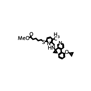 COC(=O)CCCCSc1ccc(C)c(CNC2(c3cnccc3-c3ccccc3OC3CC3)CC2)n1